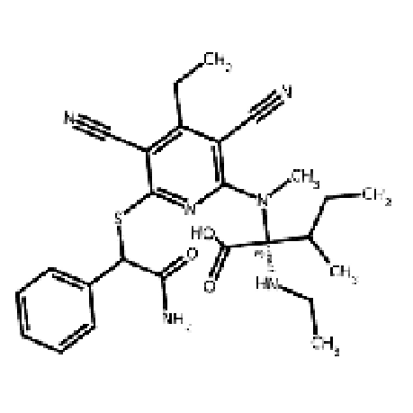 CCN[C@@](C(=O)O)(C(C)CC)N(C)c1nc(SC(C(N)=O)c2ccccc2)c(C#N)c(CC)c1C#N